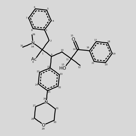 CC(=O)C(Cc1ccccc1)(C(CC(C)(O)C(=O)c1ccccc1)c1ccc(N2CCOCC2)cc1)N(C)C